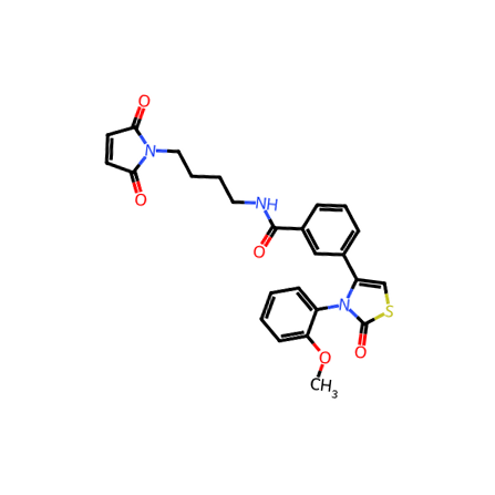 COc1ccccc1-n1c(-c2cccc(C(=O)NCCCCN3C(=O)C=CC3=O)c2)csc1=O